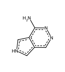 Nc1nncc2c[nH]cc12